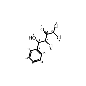 O=C(C(Cl)Cl)C(Cl)C(O)c1ccccc1